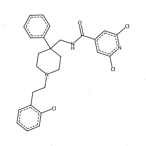 O=C(NCC1(c2ccccc2)CCN(CCc2ccccc2Cl)CC1)c1cc(Cl)nc(Cl)c1